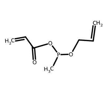 C=CCOP(C)OC(=O)C=C